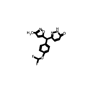 Cc1cc(C(c2ccc(OC(F)F)cc2)c2ccc(=O)[nH]n2)on1